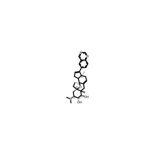 CN(C)[C@H]1C[C@@]23CC[C@@]4(O2)C(=CC[C@]2(C)C(c5ccc6ncncc6c5)=CCC24)CC3(F)[C@@H](O)[C@@H]1O